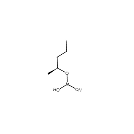 CCC[C@H](C)ON(O)O